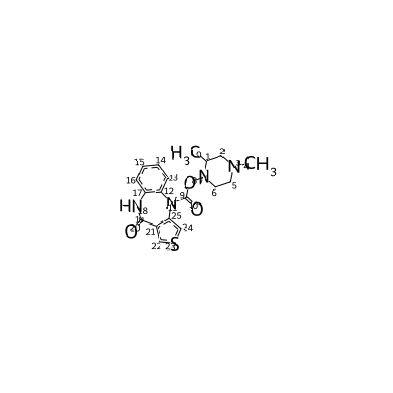 CC1CN(C)CCN1OC(=O)N1c2ccccc2NC(=O)c2cscc21